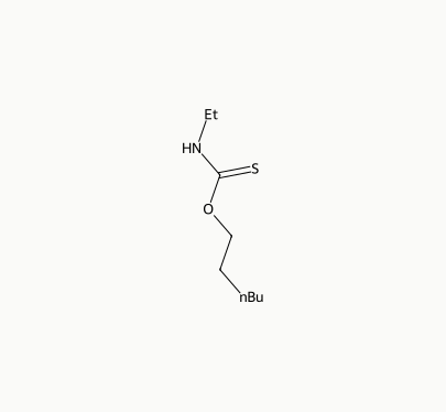 CCCCCCOC(=S)NCC